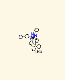 CC(C)(C)c1ccc2c(c1)C1(c3ccccc3-c3ccc(-c4nc(-c5ccccc5)nc(-c5ccc(-c6ccccc6)cc5)n4)cc31)c1cc(C(C)(C)C)ccc1-2